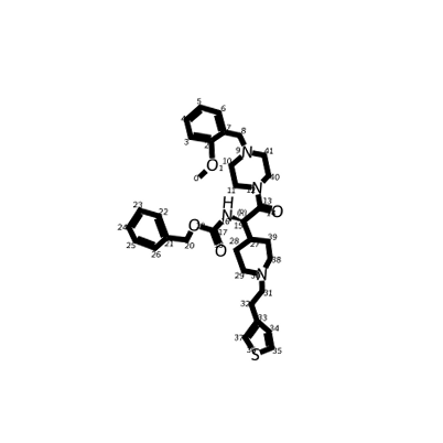 COc1ccccc1CN1CCN(C(=O)[C@H](NC(=O)OCc2ccccc2)C2CCN(CCc3ccsc3)CC2)CC1